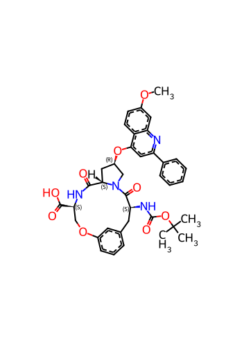 COc1ccc2c(O[C@@H]3C[C@H]4C(=O)N[C@H](C(=O)O)COc5cccc(c5)C[C@H](NC(=O)OC(C)(C)C)C(=O)N4C3)cc(-c3ccccc3)nc2c1